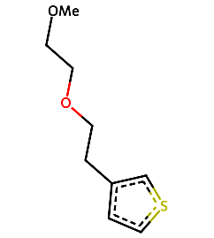 COCCOCCc1ccsc1